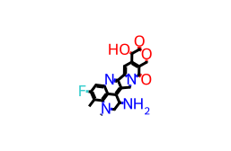 Cc1c(F)cc2nc3c(c4c2c1N(C)CC4N)Cn1c-3cc2c(c1=O)COC(=O)C2O